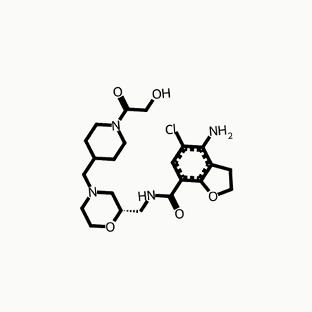 Nc1c(Cl)cc(C(=O)NC[C@H]2CN(CC3CCN(C(=O)CO)CC3)CCO2)c2c1CCO2